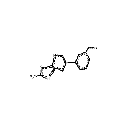 Nc1nc2cc(-c3cccc(C=O)c3)cnc2s1